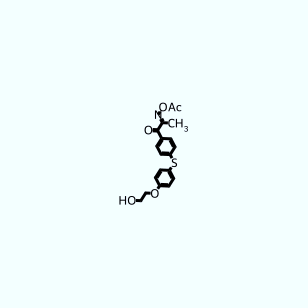 CC(=O)O/N=C(\C)C(=O)c1ccc(Sc2ccc(OCCO)cc2)cc1